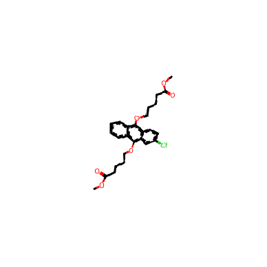 COC(=O)CCCCOc1c2ccccc2c(OCCCCC(=O)OC)c2cc(Cl)ccc12